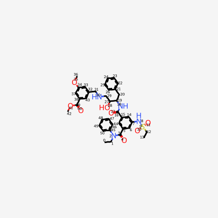 CCN(C(=O)c1cc(NS(=O)(=O)CC)cc(C(=O)NC(Cc2ccccc2)C(O)CNCc2cc(OC)cc(C(=O)OC)c2)c1)c1ccccc1